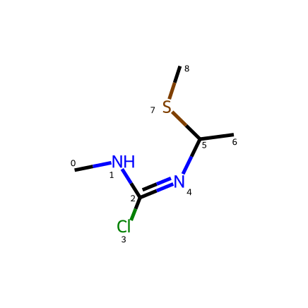 CN/C(Cl)=N\C(C)SC